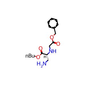 CCCCOC(=O)[C@@H](CN)NCC(=O)OCc1ccccc1